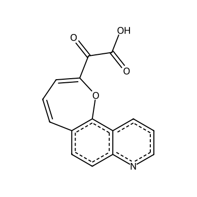 O=C(O)C(=O)C1=CC=Cc2ccc3ncccc3c2O1